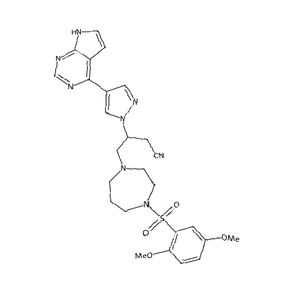 COc1ccc(OC)c(S(=O)(=O)N2CCCN(CC(CC#N)n3cc(-c4ncnc5[nH]ccc45)cn3)CC2)c1